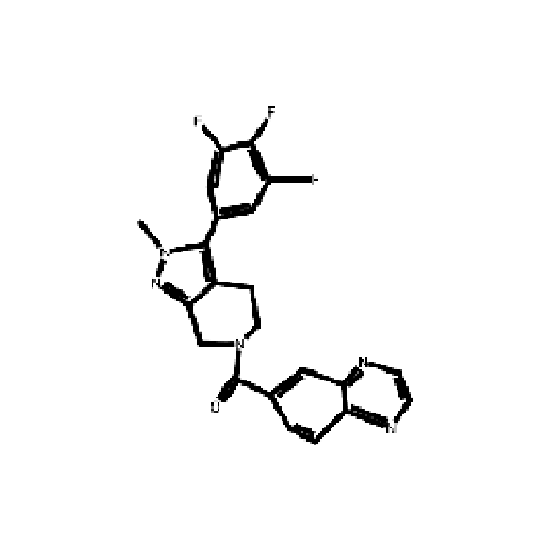 Cn1nc2c(c1-c1cc(F)c(F)c(F)c1)CCN(C(=O)c1ccc3nccnc3c1)C2